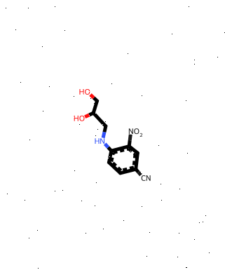 N#Cc1ccc(NCC(O)CO)c([N+](=O)[O-])c1